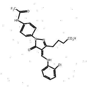 CCc1ccccc1NC=C1C(=O)N(c2ccc(NC(=O)C(F)(F)F)cc2)N=C1CCCC(=O)O